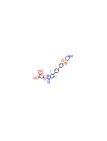 O=S(=O)(c1ccc(-c2ccc(-c3c(F)cc4[nH]c(O[C@H]5CO[C@H](CO)[C@@H](O)C5)nc4c3F)cc2)cc1)C1CCNCC1